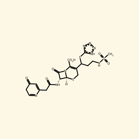 CS(=O)(=O)NCCC(Sc1nnn[nH]1)C1=C(C(=O)O)N2C(=O)[C@@H](NC(=O)CC3=CC(=O)CC=N3)[C@@H]2SC1